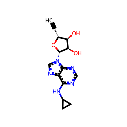 C#C[C@H]1O[C@@H](n2cnc3c(NC4CC4)ncnc32)[C@H](O)[C@@H]1O